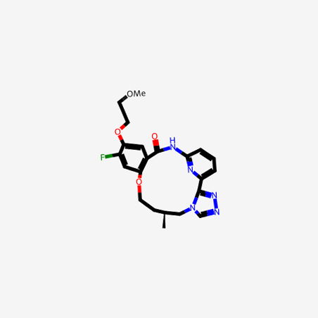 COCCOc1cc2c(cc1F)OCC[C@H](C)Cn1cnnc1-c1cccc(n1)NC2=O